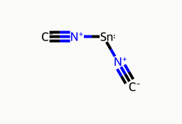 [C-]#[N+][Sn][N+]#[C-]